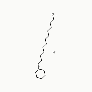 CCCCCCCCCCCCC[SiH]1CCCCC1.[H+]